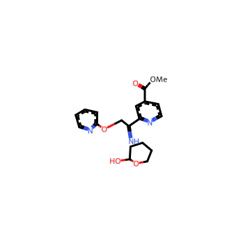 COC(=O)c1ccnc(C(=N)COc2ccccn2)c1.OC1CCCCO1